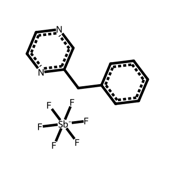 [F][Sb-]([F])([F])([F])([F])[F].c1ccc(Cc2cnccn2)cc1